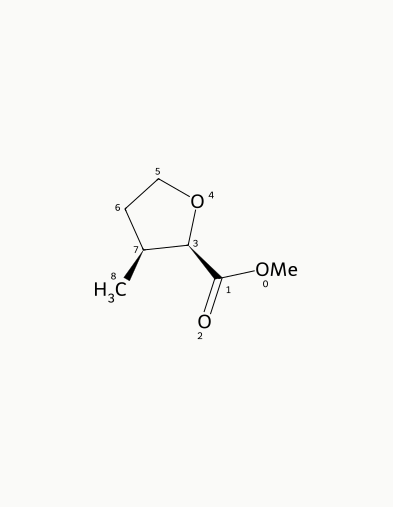 COC(=O)[C@@H]1OCC[C@@H]1C